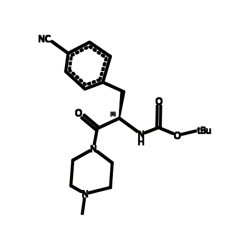 CN1CCN(C(=O)[C@@H](Cc2ccc(C#N)cc2)NC(=O)OC(C)(C)C)CC1